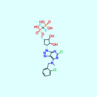 CN(Cc1ccccc1Cl)c1nc(Cl)nc2c1nnn2[C@@H]1C[C@H](COP(=O)(O)C(F)(F)P(=O)(O)O)[C@@H](O)[C@H]1O